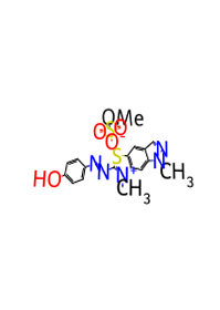 COS(=O)(=O)[O-].Cn1ncc2cc3sc(/N=N/c4ccc(O)cc4)[n+](C)c3cc21